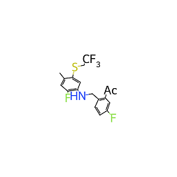 CC(=O)c1cc(F)ccc1CNc1cc(SCC(F)(F)F)c(C)cc1F